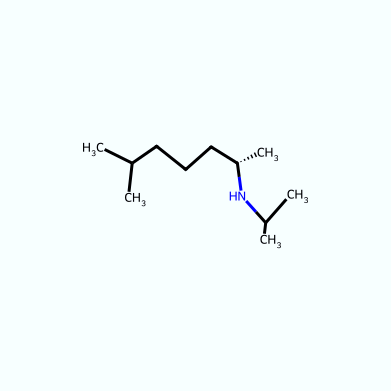 CC(C)CCC[C@H](C)NC(C)C